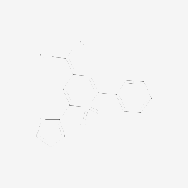 N#CC(C#N)=C1C=C(c2ccccc2)S(=O)(=O)C(c2cccs2)=C1